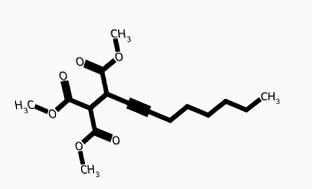 CCCCCCC#CC(C(=O)OC)C(C(=O)OC)C(=O)OC